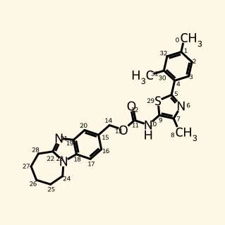 Cc1ccc(-c2nc(C)c(NC(=O)OCc3ccc4c(c3)nc3n4CCCCC3)s2)c(C)c1